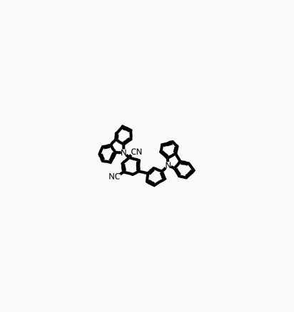 N#CC1=CC(C#N)(n2c3ccccc3c3ccccc32)C=C(c2cccc(-n3c4ccccc4c4ccccc43)c2)C1